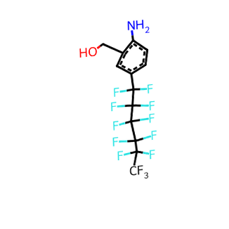 Nc1ccc(C(F)(F)C(F)(F)C(F)(F)C(F)(F)C(F)(F)C(F)(F)F)cc1CO